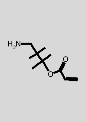 C=CC(=O)OC(C)(C)C(C)(C)CN